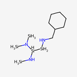 [SiH3]N[SiH]([SiH2]NCC1CCCCC1)N([SiH3])[SiH3]